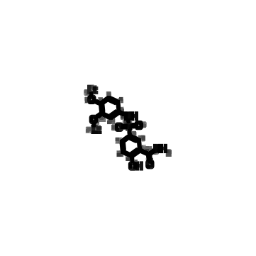 CCOc1ccc(NS(=O)(=O)c2ccc(O)c(C(N)=O)c2)cc1OCC